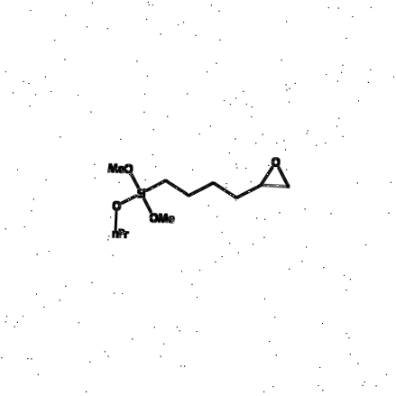 CCCO[Si](CCCCC1CO1)(OC)OC